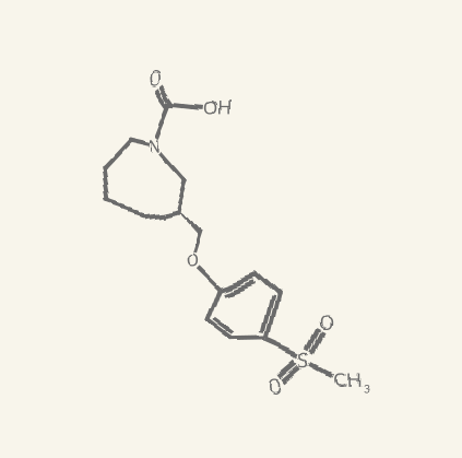 CS(=O)(=O)c1ccc(OC[C@H]2CCCCN(C(=O)O)C2)cc1